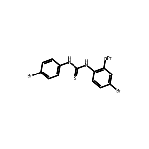 CCCc1cc(Br)ccc1NC(=S)Nc1ccc(Br)cc1